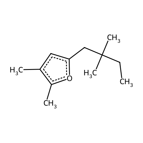 CCC(C)(C)Cc1cc(C)c(C)o1